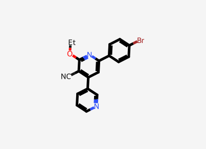 CCOc1nc(-c2ccc(Br)cc2)cc(-c2cccnc2)c1C#N